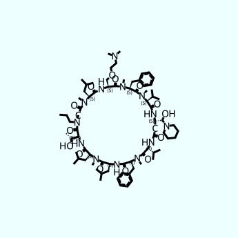 CCCN1CC(=O)N(C)[C@@H](CC(C)C)C(=O)N[C@@H](COCCN(C)C)C(=O)N(C)[C@@H](Cc2ccccc2)C(=O)N(C)[C@@H](C(C)C)C(=O)N[C@H](C(O)N2CCCCC2)CC(=O)N[C@H](C(C)C)C(=O)N(C)[C@@H](Cc2ccccc2)C(=O)N[C@@H](CC(C)C)C(=O)N(C)[C@@H](CC(C)C)C(=O)N[C@@H]([C@@H](C)O)C1=O